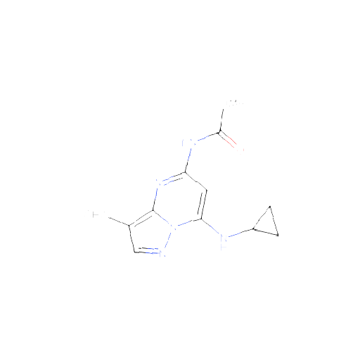 COC(=O)Nc1cc(NC2CC2)n2ncc(C=O)c2n1